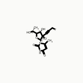 Cc1cc(=O)[nH]c(=O)n1[C@@H]1OC([C@@H](C)O)[C@H](O)C1(O)C#CCF